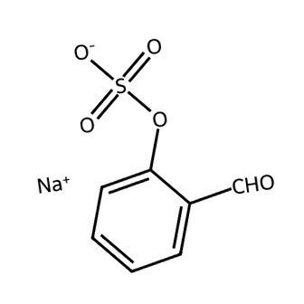 O=Cc1ccccc1OS(=O)(=O)[O-].[Na+]